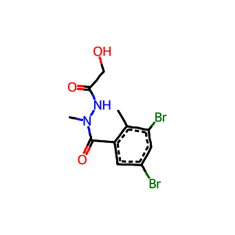 Cc1c(Br)cc(Br)cc1C(=O)N(C)NC(=O)CO